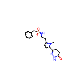 Cn1c(CCNS(=O)(=O)Cc2ccccc2)ccc1C1=NNC(=O)CC1